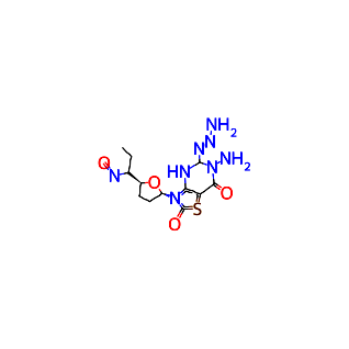 CCC(N=O)[C@@H]1CC[C@H](n2c3c(sc2=O)C(=O)N(N)C(N=NN)N3)O1